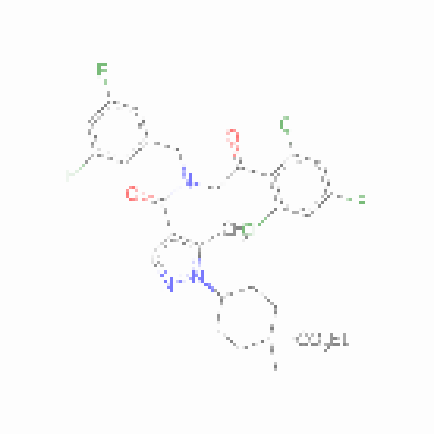 CCOC(=O)[C@]1(C)CC[C@@H](n2ncc(C(=O)N(CC(=O)c3c(Cl)cc(F)cc3Cl)Cc3cc(F)cc(F)c3)c2C(F)(F)F)CC1